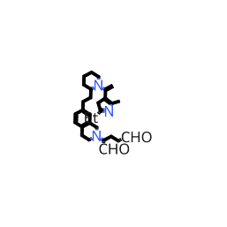 C=C(C1=C(C)N=C(CC)C1)N1CCCCC1CCc1ccc2c(c1)CN(C(C=O)CCC=O)CC2